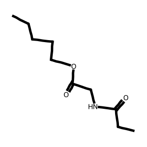 CCCCCOC(=O)CNC(=O)CC